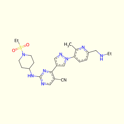 CCNCc1ccc(-n2cc(-c3nc(NC4CCN(S(=O)(=O)CC)CC4)ncc3C#N)cn2)c(C)n1